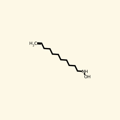 C=CCCCCCCCCCNO